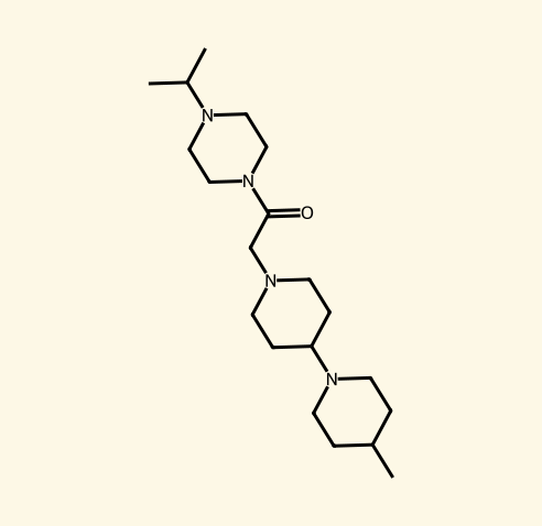 CC1CCN(C2CCN(CC(=O)N3CCN(C(C)C)CC3)CC2)CC1